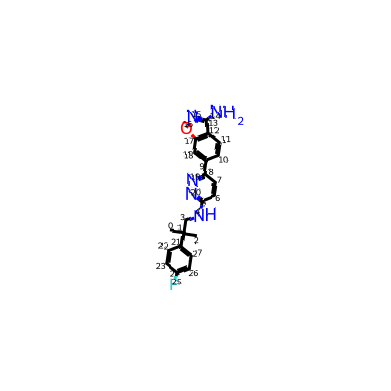 CC(C)(CNc1ccc(-c2ccc3c(N)noc3c2)nn1)c1ccc(F)cc1